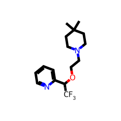 CC1(C)CCN(CCOC(c2ccccn2)C(F)(F)F)CC1